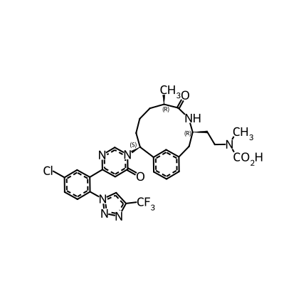 C[C@@H]1CCC[C@H](n2cnc(-c3cc(Cl)ccc3-n3cc(C(F)(F)F)nn3)cc2=O)c2cccc(c2)C[C@H](CCN(C)C(=O)O)NC1=O